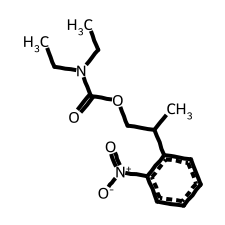 CCN(CC)C(=O)OCC(C)c1ccccc1[N+](=O)[O-]